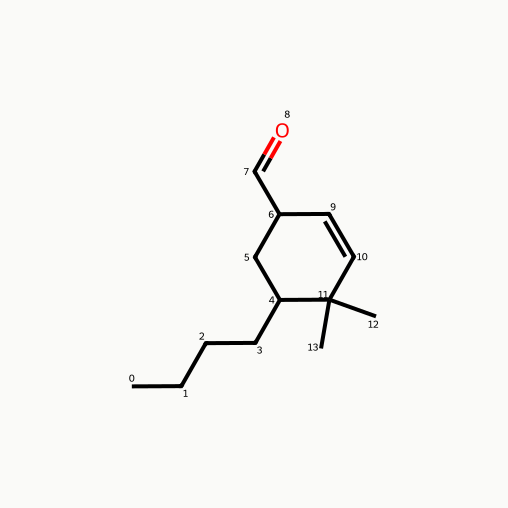 CCCCC1CC(C=O)C=CC1(C)C